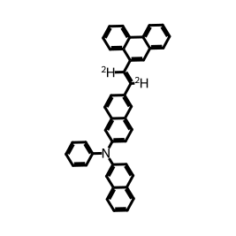 [2H]/C(=C(/[2H])c1cc2ccccc2c2ccccc12)c1ccc2cc(N(c3ccccc3)c3ccc4ccccc4c3)ccc2c1